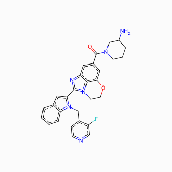 NC1CCCN(C(=O)c2cc3c4c(c2)nc(-c2cc5ccccc5n2Cc2ccncc2F)n4CCO3)C1